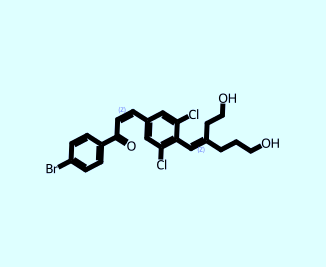 O=C(/C=C\c1cc(Cl)c(/C=C(\CCO)CCCO)c(Cl)c1)c1ccc(Br)cc1